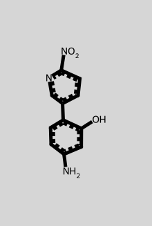 Nc1ccc(-c2ccc([N+](=O)[O-])nc2)c(O)c1